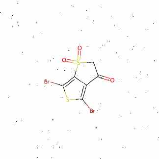 O=C1CS(=O)(=O)c2c(Br)sc(Br)c21